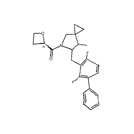 CC1C(Cc2c(F)ccc(-c3ccccc3)c2F)N(C(=O)[C@H]2CCO2)CC12CC2